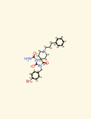 NC(=O)N1C(=O)N(Cc2ccc(Br)cc2)C(=O)C12CCN(CC[CH]c1ccccc1)CC2